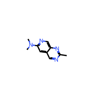 Cc1ncc2cc(N(C)C)ncc2n1